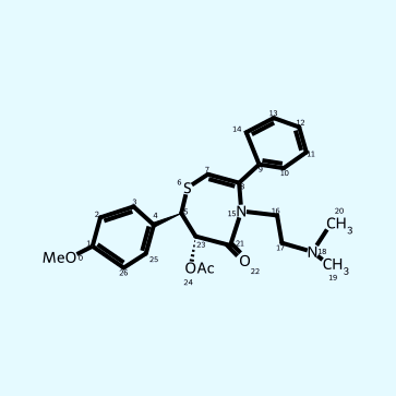 COc1ccc([C@H]2SC=C(c3ccccc3)N(CCN(C)C)C(=O)[C@@H]2OC(C)=O)cc1